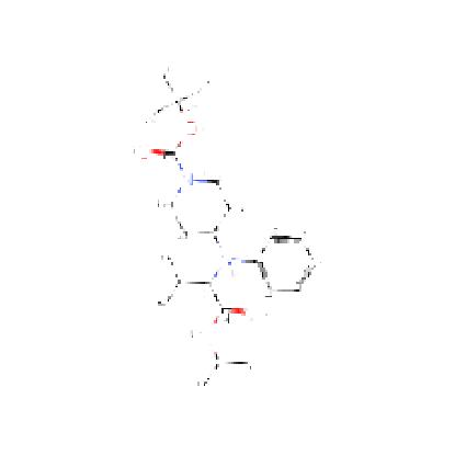 CC(C)OC(=O)C(C(C)C)N(c1ccccc1)C1CCN(C(=O)OC(C)(C)C)CC1